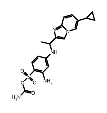 CC(Nc1ccc(S(=O)(=O)OC(N)=O)c(N)c1)c1cn2cc(C3CC3)ccc2n1